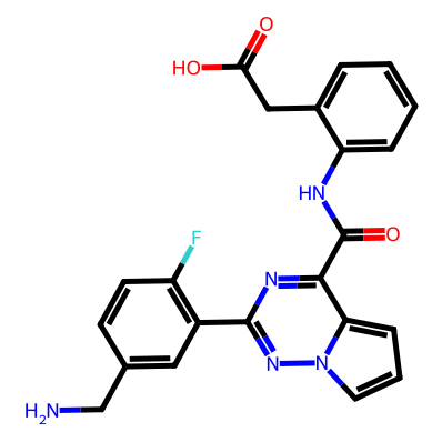 NCc1ccc(F)c(-c2nc(C(=O)Nc3ccccc3CC(=O)O)c3cccn3n2)c1